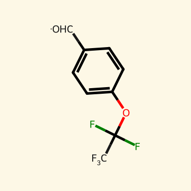 O=[C]c1ccc(OC(F)(F)C(F)(F)F)cc1